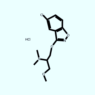 COCC(COc1noc2ccc(Cl)cc12)N(C)C.Cl